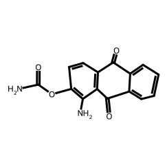 NC(=O)Oc1ccc2c(c1N)C(=O)c1ccccc1C2=O